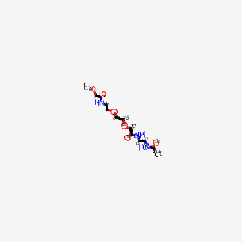 CCOCC(=O)NCCOCCOCC(=O)NCCNC(=O)CC